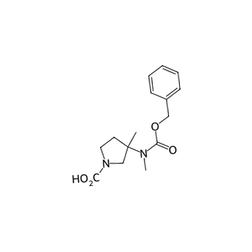 CN(C(=O)OCc1ccccc1)C1(C)CCN(C(=O)O)C1